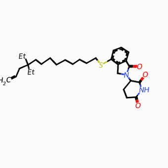 C=CCC(CC)(CC)CCCCCCCCCSc1cccc2c1CN(C1CCC(=O)NC1=O)C2=O